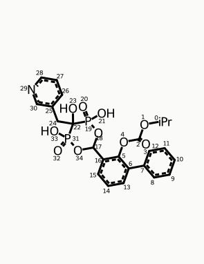 CC(C)OC(=O)Oc1c(-c2ccccc2)cccc1C1OP(=O)(O)C(O)(Cc2cccnc2)P(=O)(O)O1